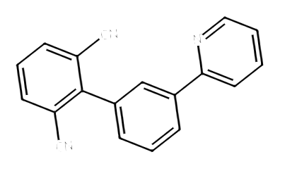 N#Cc1cccc(C#N)c1-c1cccc(-c2ccccn2)c1